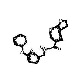 O=C(NCc1ccc(Oc2ccccc2)s1)c1cnc2occc2c1